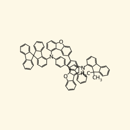 CC1(C)c2ccccc2-c2cccc(-n3c4ccccc4c4ccc(-c5ccc6oc7cccc(N(c8ccc(-c9cccc%10c9oc9ccccc9%10)cc8)c8cccc9c8-c8ccccc8C98c9ccccc9-c9ccccc98)c7c6c5)cc43)c21